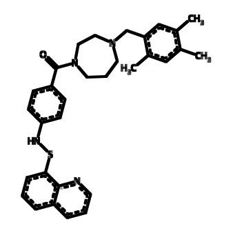 Cc1cc(C)c(CN2CCCN(C(=O)c3ccc(NSc4cccc5cccnc45)cc3)CC2)cc1C